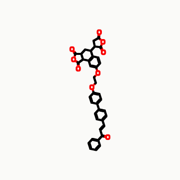 O=C1CC(C2CC3C(=O)OC(=O)C3c3cc(OCCOc4ccc(-c5ccc(/C=C/C(=O)c6ccccc6)cc5)cc4)ccc32)C(=O)O1